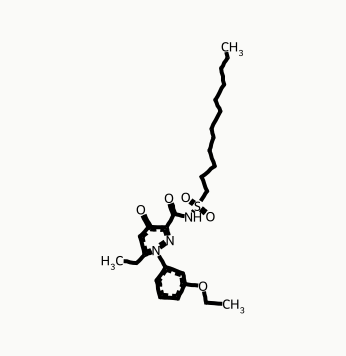 CCCCCCCCCCCCS(=O)(=O)NC(=O)c1nn(-c2cccc(OCC)c2)c(CC)cc1=O